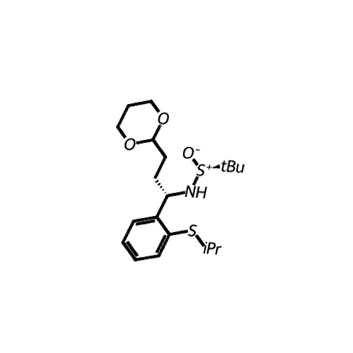 CC(C)Sc1ccccc1[C@H](CCC1OCCCO1)N[S@@+]([O-])C(C)(C)C